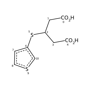 O=C(O)CC(CC(=O)O)Sc1ccsc1